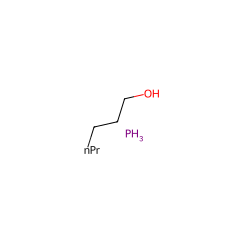 CCCCCCO.P